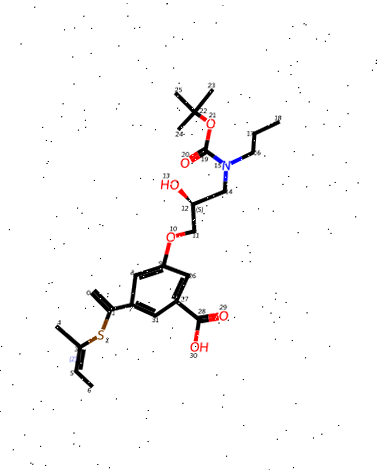 C=C(S/C(C)=C\C)c1cc(OC[C@@H](O)CN(CCC)C(=O)OC(C)(C)C)cc(C(=O)O)c1